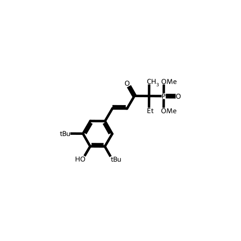 CCC(C)(C(=O)C=Cc1cc(C(C)(C)C)c(O)c(C(C)(C)C)c1)P(=O)(OC)OC